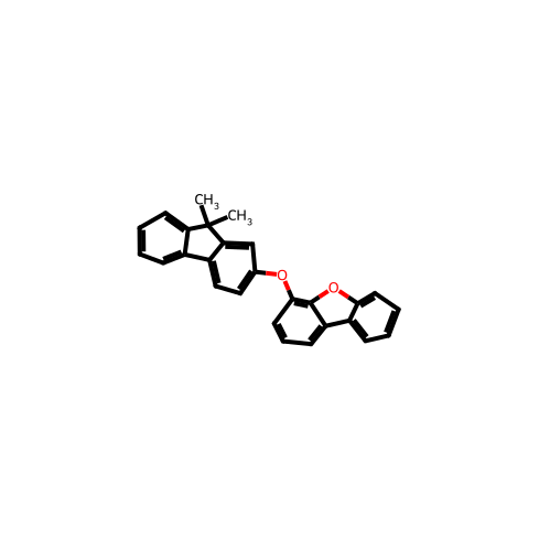 CC1(C)c2ccccc2-c2ccc(Oc3cccc4c3oc3ccccc34)cc21